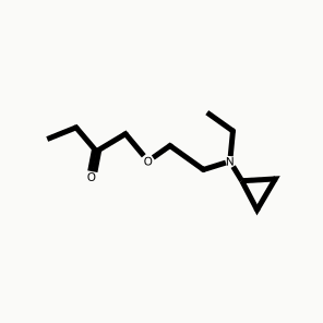 CCC(=O)COCCN(CC)C1CC1